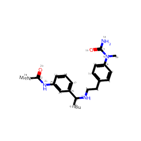 CCCCC(NCCc1ccc(N(C)C(N)=O)cc1)c1cccc(NC(=O)NC)c1